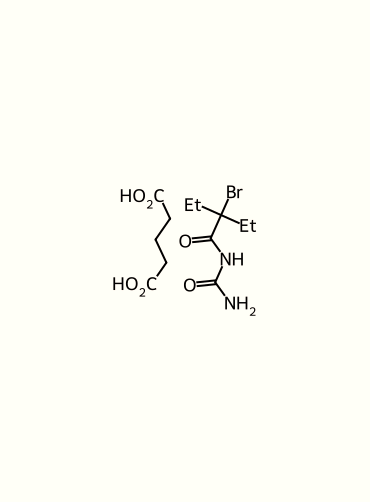 CCC(Br)(CC)C(=O)NC(N)=O.O=C(O)CCCC(=O)O